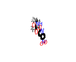 [2H]C([2H])([2H])NC(=O)C([2H])([2H])Oc1cc2cc([N+](=O)[O-])ccc2n(C)c1=O